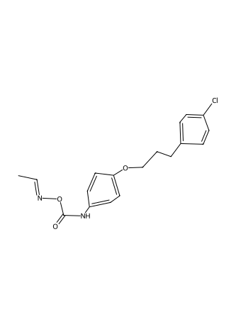 CC=NOC(=O)Nc1ccc(OCCCc2ccc(Cl)cc2)cc1